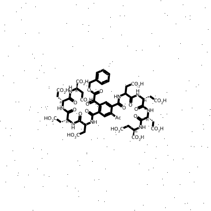 CC(=O)c1cc(C(=O)NC(CC(=O)O)C(=O)N[C@H](CC(=O)O)C(=O)N[C@H](CC(=O)O)C(=O)N[C@H](CC(=O)O)C(=O)O)c(C(=O)C(=O)OCc2ccccc2)cc1C(=O)NC(CC(=O)O)C(=O)N[C@H](CC(=O)O)C(=O)N[C@H](CC(=O)O)C(=O)N[C@H](CC(=O)O)C(=O)O